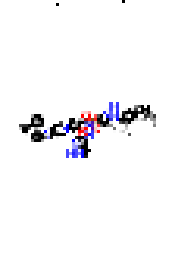 CC1(C)CCC(CNc2ncc(S(=O)(=O)NC(=O)c3ccc(N4CCC5(CC4)CN([C@@H]4CCC[C@@H]4c4ccccc4C4CC4)C5)cc3Oc3cnc4[nH]ccc4c3)cc2[N+](=O)[O-])CC1